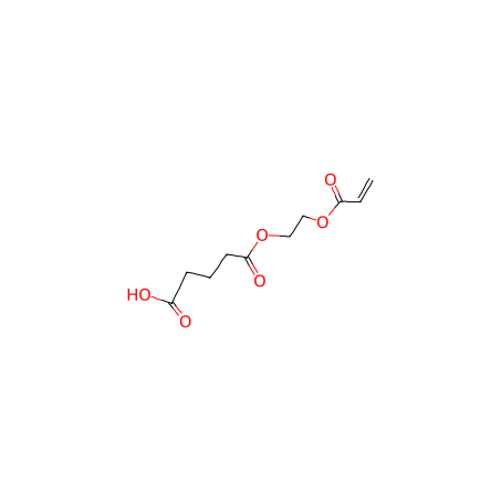 C=CC(=O)OCCOC(=O)CCCC(=O)O